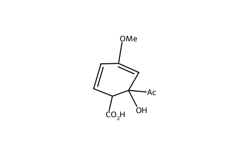 COC1=CC(O)(C(C)=O)C(C(=O)O)C=C1